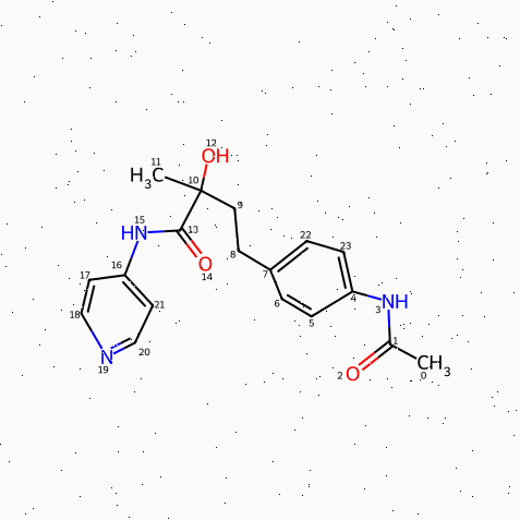 CC(=O)Nc1ccc(CCC(C)(O)C(=O)Nc2ccncc2)cc1